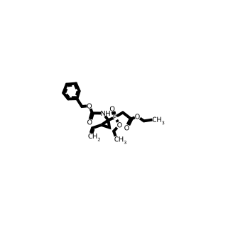 C=CC1CC1(NC(=O)OCc1ccccc1)P(=O)(CC(=O)OCC)OCC